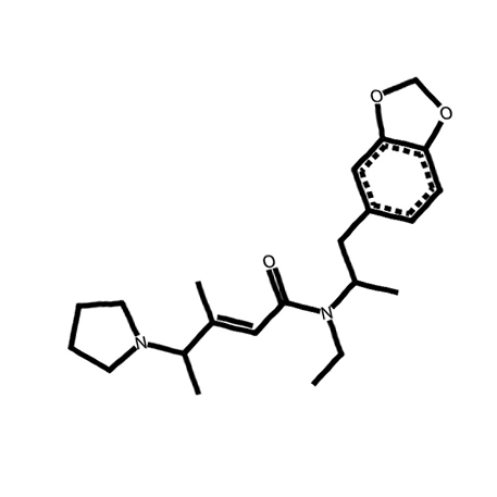 CCN(C(=O)/C=C(\C)C(C)N1CCCC1)C(C)Cc1ccc2c(c1)OCO2